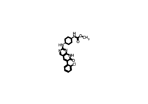 COC(=O)N[C@H]1CC[C@H](Nc2ncc3cc(-c4ccccc4Cl)c(=O)[nH]c3n2)CC1